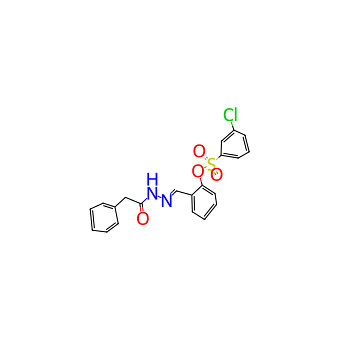 O=C(Cc1ccccc1)N/N=C/c1ccccc1OS(=O)(=O)c1cccc(Cl)c1